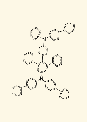 c1ccc(-c2ccc(N(c3ccccc3)c3ccc(-c4c(-c5ccccc5)cc(N(c5ccc(-c6ccccc6)cc5)c5ccc(-c6ccccc6)cc5)cc4-c4ccccc4)cc3)cc2)cc1